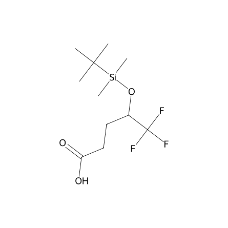 CC(C)(C)[Si](C)(C)OC(CCC(=O)O)C(F)(F)F